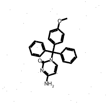 COc1ccc(C(c2ccccc2)(c2ccccc2)n2c[c]c(N)nc2=O)cc1